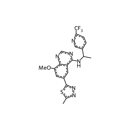 COc1cc(-c2nnc(C)s2)cc2c(NC(C)c3ccc(C(F)(F)F)nc3)ncnc12